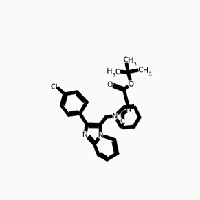 CC(C)(C)OC(=O)N1CCC2CCC1CN2Cc1c(-c2ccc(Cl)cc2)nc2ccccn12